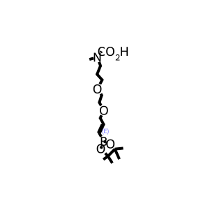 CN(CCCOCCOC/C=C/B1OC(C)(C)C(C)(C)O1)C(=O)O